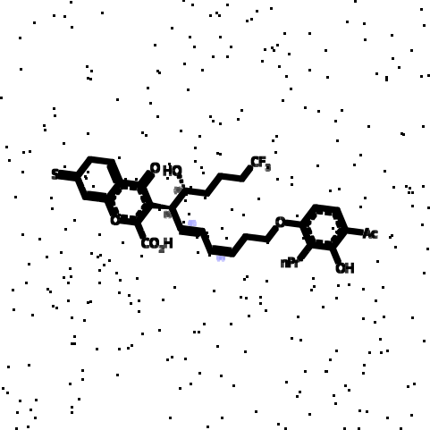 CCCc1c(OCC/C=C\C=C\[C@@H](c2c(C(=O)O)oc3c(c2=O)=CCC(=S)C=3)[C@H](O)CCCC(F)(F)F)ccc(C(C)=O)c1O